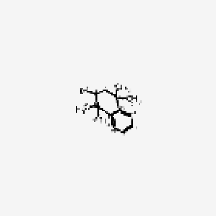 CC1(C)CC(Br)C(C)(C)c2ccccc21